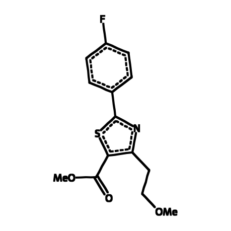 COCCc1nc(-c2ccc(F)cc2)sc1C(=O)OC